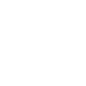 CC(C)(CC[C@H]1CCC(=O)N1)[Si](C)(C)O